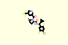 C[C@@H]1CC[C@H](C(=O)N[C@@H](c2cc(F)c(Cl)cc2F)C2CC2)N1C(=O)c1cncc(C(F)(F)F)c1